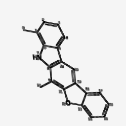 Cc1cccc2c1[nH]c1c(C)c3oc4ccccc4c3cc12